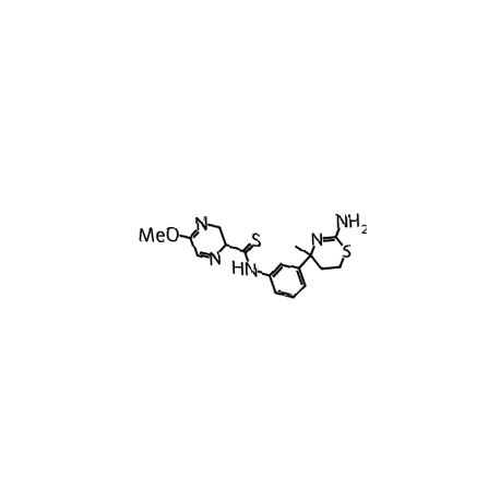 COC1=NCC(C(=S)Nc2cccc(C3(C)CCSC(N)=N3)c2)N=C1